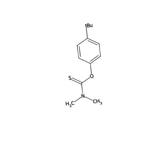 CN(C)C(=S)Oc1ccc(C(C)(C)C)cc1